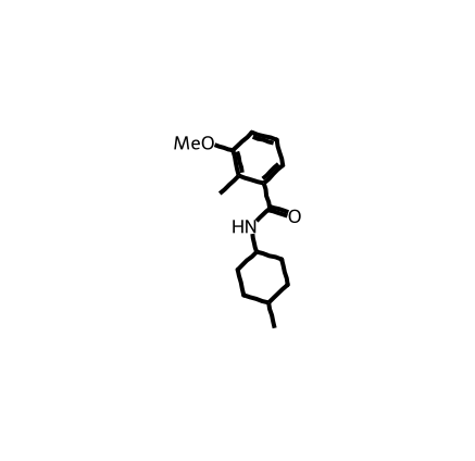 COc1cccc(C(=O)NC2CCC(C)CC2)c1C